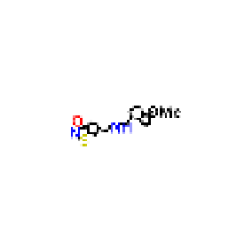 COc1cccc2c1CCCC2CCNCCc1ccc2c(=O)ncsc2c1